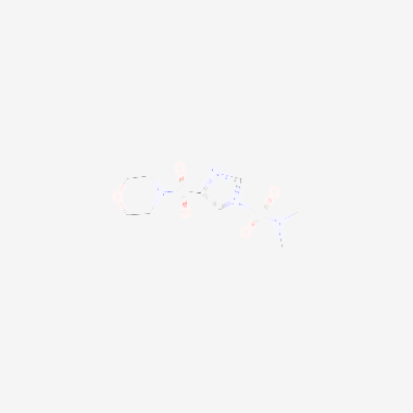 CN(C)S(=O)(=O)n1cnc(S(=O)(=O)N2CCOCC2)c1